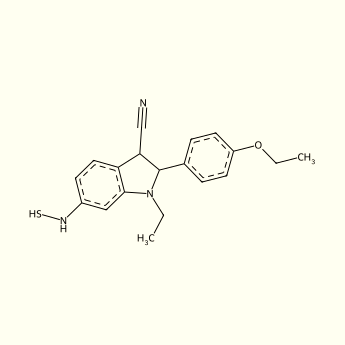 CCOc1ccc(C2C(C#N)c3ccc(NS)cc3N2CC)cc1